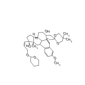 COc1ccc2c(c1)C[C@]13CCC4(C[C@]1(O)CC[C@@H]1C3C2C[C@@]2(C)[C@H]1CC[C@@]2(O)/C=C\COC1CCCCO1)OCC(C)(C)CO4